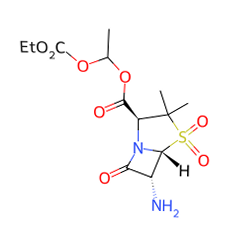 CCOC(=O)OC(C)OC(=O)[C@@H]1N2C(=O)[C@@H](N)[C@H]2S(=O)(=O)C1(C)C